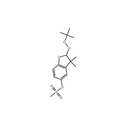 CC(C)(C)OOC1Oc2ccc(OS(C)(=O)=O)cc2C1(C)C